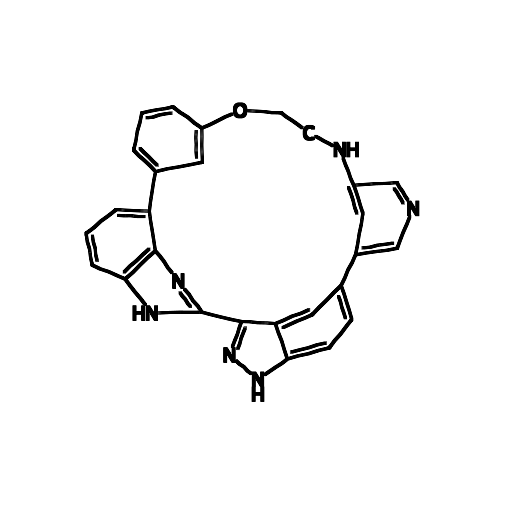 c1cc2cc(c1)-c1cccc3[nH]c(nc13)-c1n[nH]c3ccc(cc13)-c1cncc(c1)NCCO2